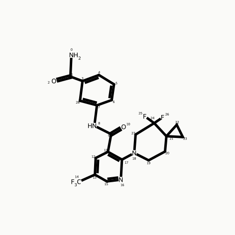 NC(=O)c1cccc(NC(=O)c2cc(C(F)(F)F)cnc2N2CCC3(CC3)C(F)(F)C2)c1